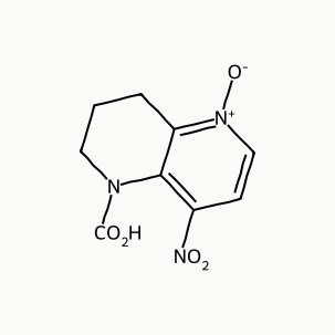 O=C(O)N1CCCc2c1c([N+](=O)[O-])cc[n+]2[O-]